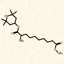 CCCCOC(=O)CCCCCCCC(CCCC)C(=O)OC1CC(C)(C)NC(C)(C)C1